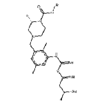 Cc1cc(CN2CCN(C(=O)OC(C)C)[C@@H](C)C2)c(C)c(NC(=N)OC(=N)C[C@H](C)O)c1